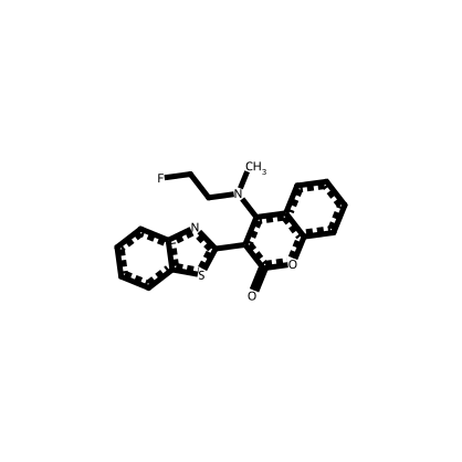 CN(CCF)c1c(-c2nc3ccccc3s2)c(=O)oc2ccccc12